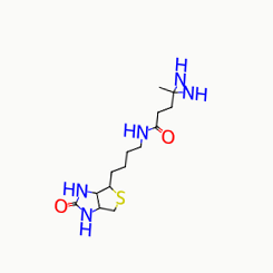 CC1(CCC(=O)NCCCCC2SCC3NC(=O)NC32)NN1